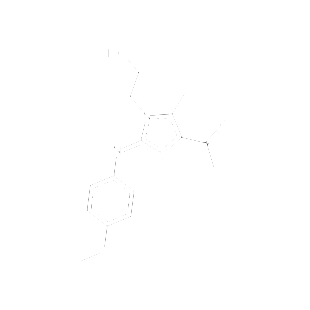 COc1ccc(/N=c2\sc(C(C)=O)c(C)n2CCO)cc1